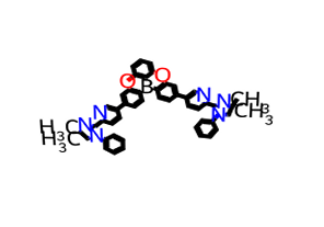 CC1(C)CN(c2ccccc2)C(c2ccc(-c3ccc4c(c3)Oc3cccc5c3B4c3ccc(-c4ccc(C6=NC(C)(C)CN6c6ccccc6)nc4)cc3O5)cn2)=N1